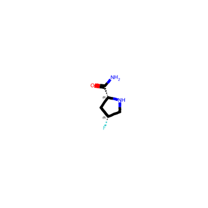 NC(=O)[C@H]1C[C@@H](F)CN1